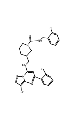 O=C(NCc1ccccc1Cl)N1CCCC(CNc2cc(-c3ccccc3Cl)nc3c(Br)cnn23)C1